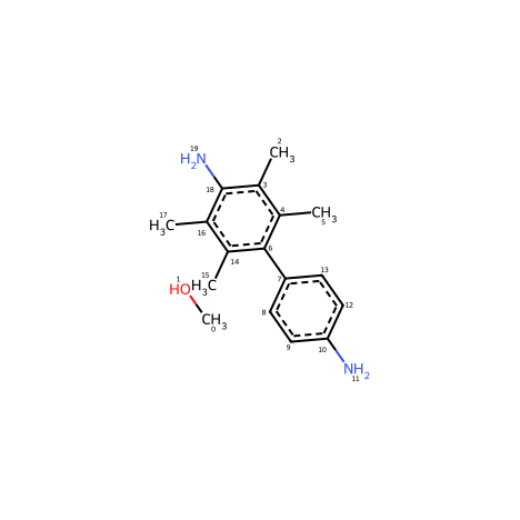 CO.Cc1c(C)c(-c2ccc(N)cc2)c(C)c(C)c1N